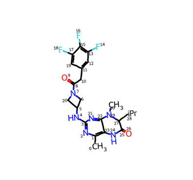 Cc1nc(NC2CN(C(=O)Cc3cc(F)c(F)c(F)c3)C2)nc2c1NC(=O)C(C(C)C)N2C